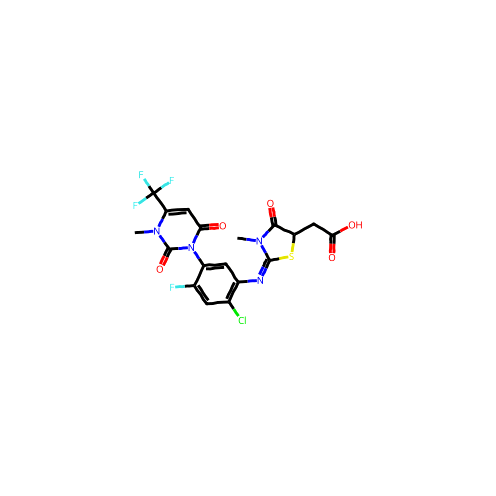 CN1C(=O)C(CC(=O)O)SC1=Nc1cc(-n2c(=O)cc(C(F)(F)F)n(C)c2=O)c(F)cc1Cl